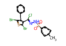 Cc1ccc(S(=O)(=O)NN=C(Cl)c2c(Br)sc(Br)c2-c2ccccc2)cc1